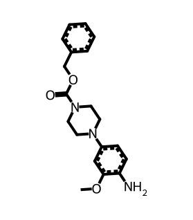 COc1cc(N2CCN(C(=O)OCc3ccccc3)CC2)ccc1N